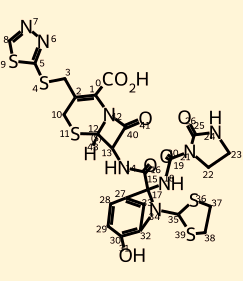 O=C(O)C1=C(CSc2nncs2)CS[C@H]2C(NC(=O)C3(NC(=O)N4CCNC4=O)c4ccc(O)c(c4)N3C3SCCS3)C(=O)N12